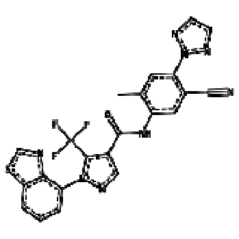 Cc1cc(-n2nccn2)c(C#N)cc1NC(=O)c1cnn(-c2cccc3scnc23)c1C(F)(F)F